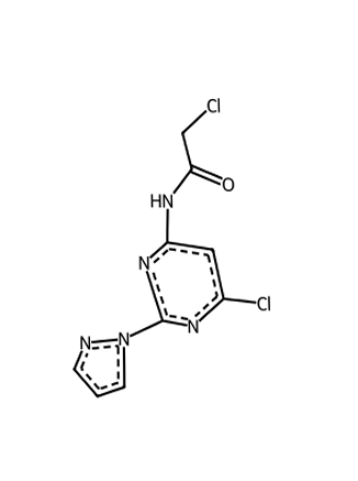 O=C(CCl)Nc1cc(Cl)nc(-n2cccn2)n1